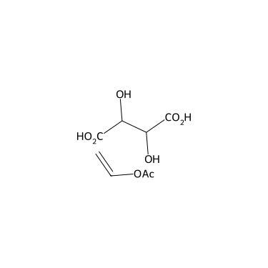 C=COC(C)=O.O=C(O)C(O)C(O)C(=O)O